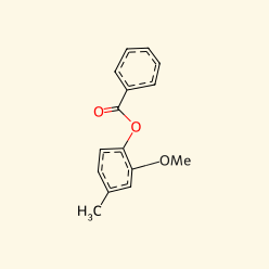 COc1cc(C)ccc1OC(=O)c1ccccc1